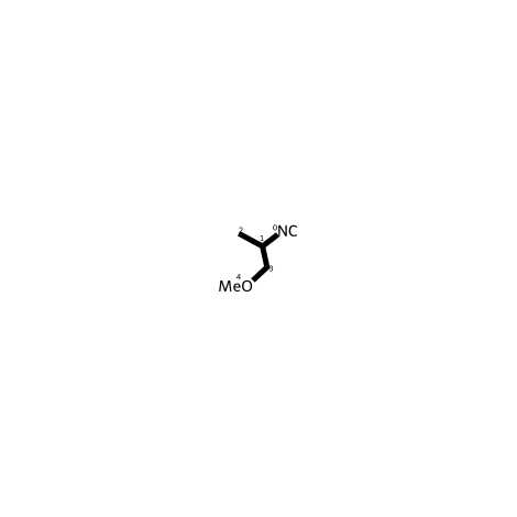 [C-]#[N+]C(C)COC